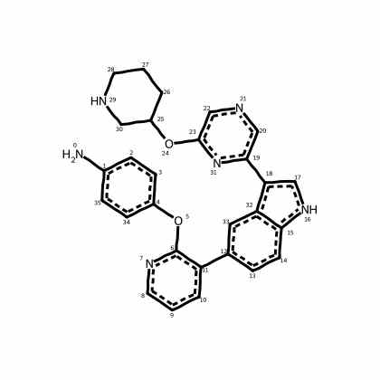 Nc1ccc(Oc2ncccc2-c2ccc3[nH]cc(-c4cncc(OC5CCCNC5)n4)c3c2)cc1